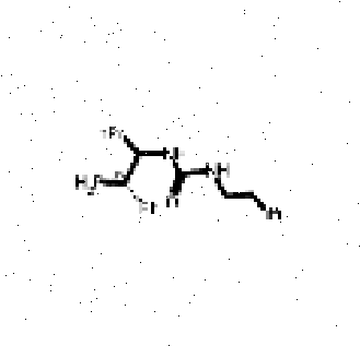 CCCC(NC(=O)NCCC(C)C)[C@@H](P)CC